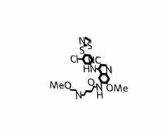 COCCN(C)CC=CC(=O)Nc1cc2c(Nc3ccc(Sc4nccs4)c(Cl)c3)c(C#N)cnc2cc1OC